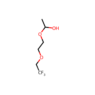 CC(O)OCCOCC(F)(F)F